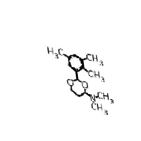 Cc1cc(C)c(C)c(C2OCCC(N(C)C)O2)c1